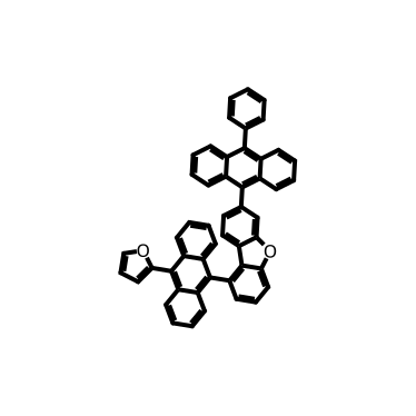 c1ccc(-c2c3ccccc3c(-c3ccc4c(c3)oc3cccc(-c5c6ccccc6c(-c6ccco6)c6ccccc56)c34)c3ccccc23)cc1